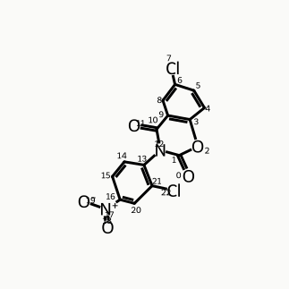 O=c1oc2ccc(Cl)cc2c(=O)n1-c1ccc([N+](=O)[O-])cc1Cl